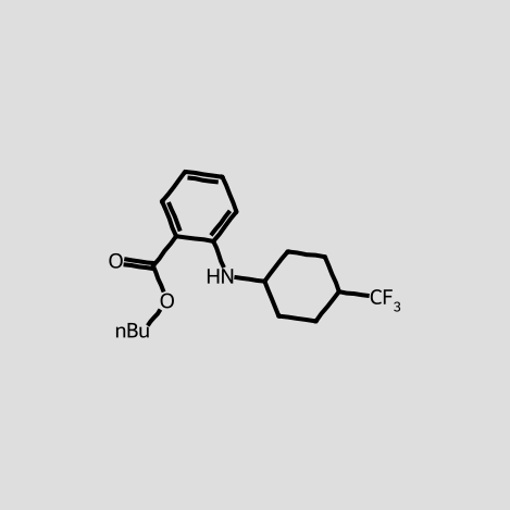 CCCCOC(=O)c1ccccc1NC1CCC(C(F)(F)F)CC1